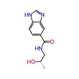 C[C@H](O)CNC(=O)c1ccc2[nH]cnc2c1